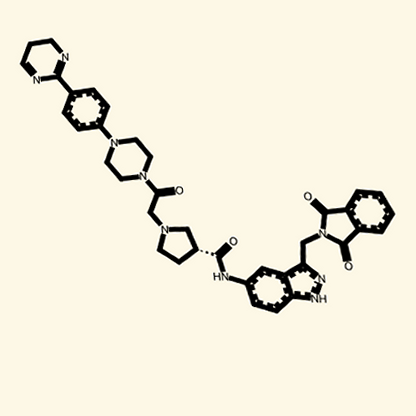 O=C(Nc1ccc2[nH]nc(CN3C(=O)c4ccccc4C3=O)c2c1)[C@@H]1CCN(CC(=O)N2CCN(c3ccc(C4=NCCC=N4)cc3)CC2)C1